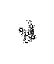 N=S(=O)(NC1CN(C(=O)c2ccccc2)CC(N2c3ccccc3Oc3ccccc32)C1O)c1ccc(OC(F)(F)F)cc1